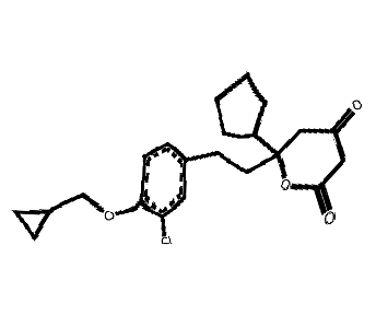 O=C1CC(=O)OC(CCc2ccc(OCC3CC3)c(Cl)c2)(C2CCCC2)C1